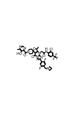 Cc1ncnc(C(=O)N2CCC3(CC2)OC(C)c2c3c(=O)n3nc(-c4cc(F)c(CN5CCC5)cc4F)nc3n2CC(=O)Nc2ccc(C(F)(F)F)cc2Cl)c1O